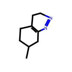 CC1CCC2=C(C1)N=NCC2